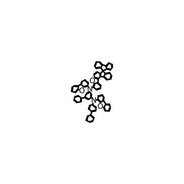 c1ccc(-c2ccc(N(c3cc(-c4ccccc4)cc(N(c4cccc5c4oc4ccccc45)c4cccc5c4oc4ccc6c(c45)-c4ccccc4C64c5ccccc5-c5ccccc54)c3)c3cccc4c3oc3ccccc34)cc2)cc1